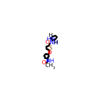 CC(=O)Nc1cccc(Oc2ccc(C(=O)N[C@@H]3C[C@H]4CC[C@@H]3N4)s2)c1